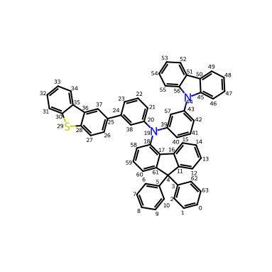 c1ccc(C2(c3ccccc3)c3ccccc3-c3c(N(c4cccc(-c5ccc6sc7ccccc7c6c5)c4)c4cccc(-n5c6ccccc6c6ccccc65)c4)cccc32)cc1